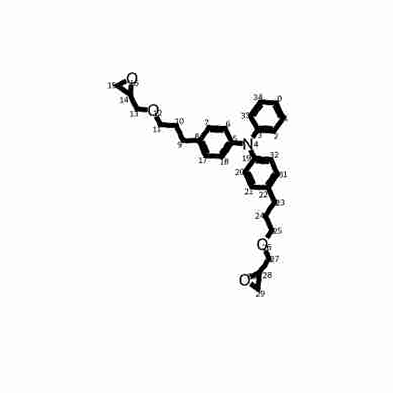 c1ccc(N(c2ccc(CCCOCC3CO3)cc2)c2ccc(CCCOCC3CO3)cc2)cc1